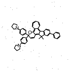 CC1(C)c2cc(-c3ccccc3)ccc2-c2c3c(c4c(c21)C=CC(c1ccc(N2CCCC2)cc1)(c1ccc(N2CCCC2)cc1)O4)C=C=CC=C3